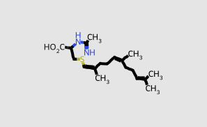 CC(=N)NC(CSC=C(C)CCC=C(C)CCC=C(C)C)C(=O)O